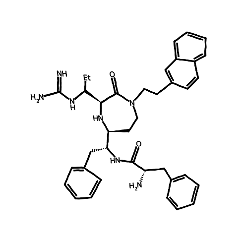 CCC(NC(=N)N)[C@@H]1N[C@H]([C@@H](Cc2ccccc2)NC(=O)[C@@H](N)Cc2ccccc2)CCN(CCc2ccc3ccccc3c2)C1=O